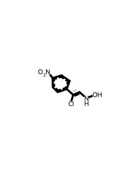 O=[N+]([O-])c1ccc(/C(Cl)=C/NO)cc1